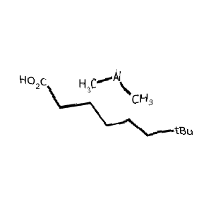 CC(C)(C)CCCCCC(=O)O.[CH3][Al][CH3]